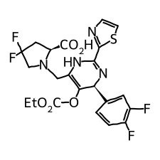 CCOC(=O)OC1=C(CN2CC(F)(F)C[C@H]2C(=O)O)NC(c2nccs2)=N[C@H]1c1ccc(F)c(F)c1